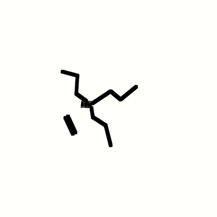 C=C.CCC[SiH](CCC)CCC